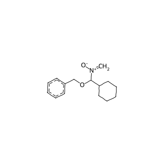 C=[N+]([O-])C(OCc1ccccc1)C1CCCCC1